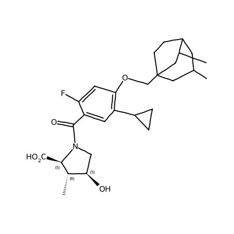 CC1CC2CCC(COc3cc(F)c(C(=O)N4C[C@@H](O)[C@H](C)[C@H]4C(=O)O)cc3C3CC3)(C1)CC2C